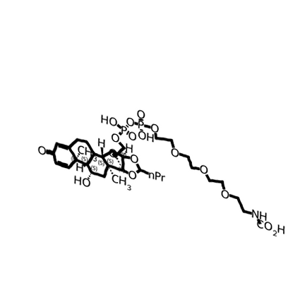 CCCC1O[C@@H]2C[C@H]3C4CCC5=CC(=O)C=C[C@]5(C)[C@H]4[C@@H](O)C[C@]3(C)[C@]2(C(=O)COP(=O)(O)OP(=O)(O)OCCOCCOCCOCCNC(=O)O)O1